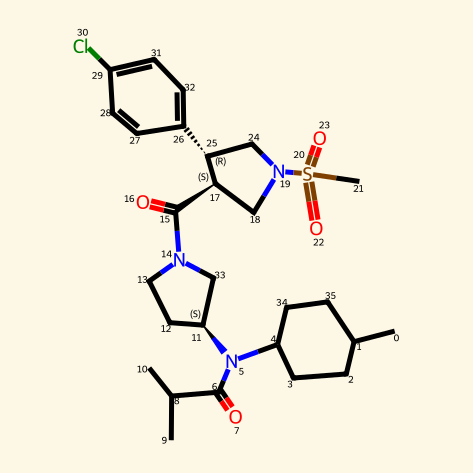 CC1CCC(N(C(=O)C(C)C)[C@H]2CCN(C(=O)[C@@H]3CN(S(C)(=O)=O)C[C@H]3c3ccc(Cl)cc3)C2)CC1